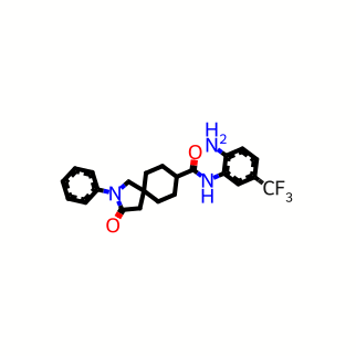 Nc1ccc(C(F)(F)F)cc1NC(=O)C1CCC2(CC1)CC(=O)N(c1ccccc1)C2